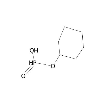 O=[PH](O)OC1CCCCC1